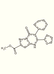 COC(=O)c1cc2[nH]c(-c3ccco3)c(-c3ccccc3)c(=O)n2n1